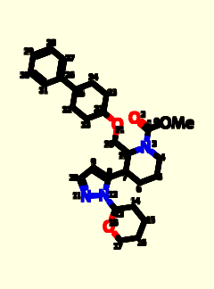 COC(=O)N1CCCC(c2ccnn2C2CCCCO2)C1COC1CCC(c2ccccc2)CC1